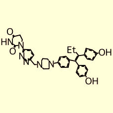 CCC(=C(c1ccc(O)cc1)c1ccc(N2CCN(Cc3ccc(N4CCC(=O)NC4=O)nn3)CC2)cc1)c1ccc(O)cc1